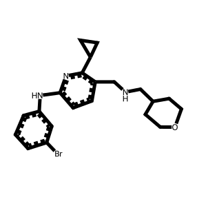 Brc1cccc(Nc2ccc(CNCC3CCOCC3)c(C3CC3)n2)c1